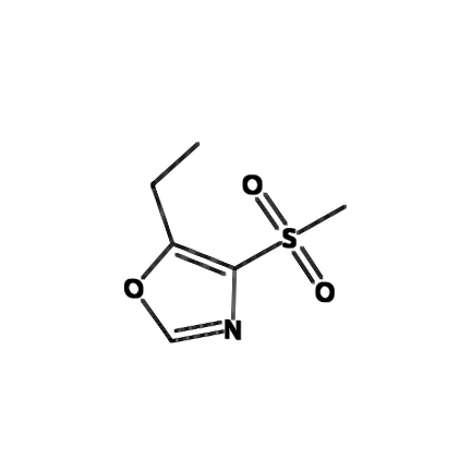 CCc1ocnc1S(C)(=O)=O